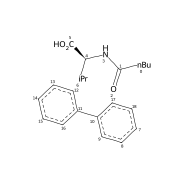 CCCCC(=O)N[C@H](C(=O)O)C(C)C.c1ccc(-c2ccccc2)cc1